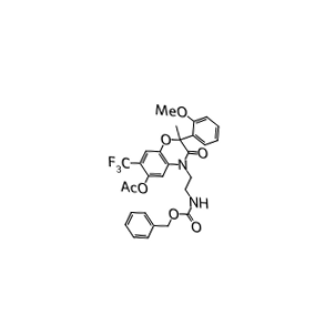 COc1ccccc1C1(C)Oc2cc(C(F)(F)F)c(OC(C)=O)cc2N(CCNC(=O)OCc2ccccc2)C1=O